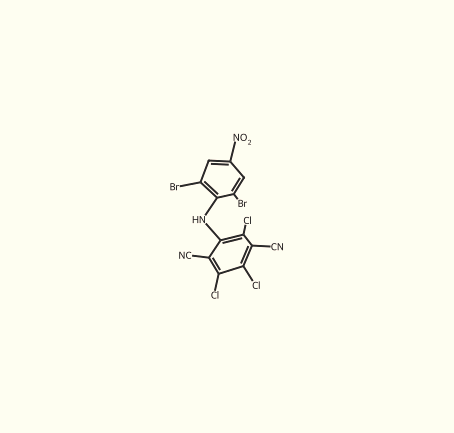 N#Cc1c(Cl)c(Cl)c(C#N)c(Nc2c(Br)cc([N+](=O)[O-])cc2Br)c1Cl